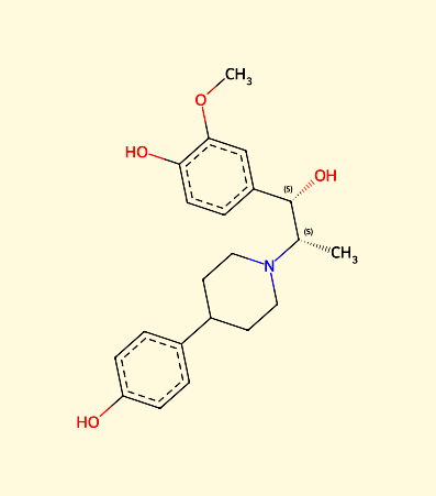 COc1cc([C@H](O)[C@H](C)N2CCC(c3ccc(O)cc3)CC2)ccc1O